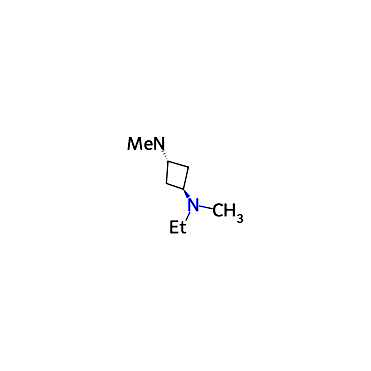 CCN(C)[C@H]1C[C@H](NC)C1